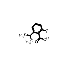 CC(C)c1cccc(F)c1C(=O)O